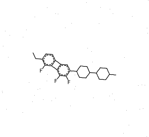 CCc1ccc2c(c1F)-c1c-2cc(C2CCC(C3CCC(C)CC3)CC2)c(F)c1F